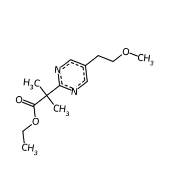 CCOC(=O)C(C)(C)c1ncc(CCOC)cn1